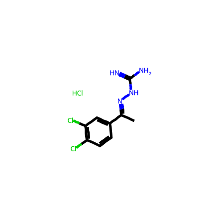 CC(=NNC(=N)N)c1ccc(Cl)c(Cl)c1.Cl